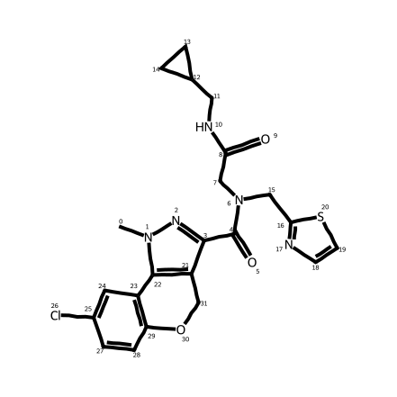 Cn1nc(C(=O)N(CC(=O)NCC2CC2)Cc2nccs2)c2c1-c1cc(Cl)ccc1OC2